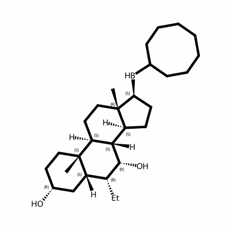 CC[C@H]1[C@@H](O)[C@@H]2[C@H](CC[C@]3(C)[C@@H](BC4CCCCCCC4)CC[C@@H]23)[C@@]2(C)CC[C@@H](O)C[C@@H]12